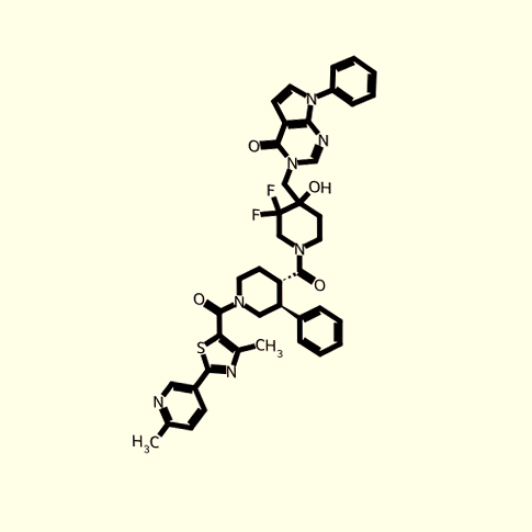 Cc1ccc(-c2nc(C)c(C(=O)N3CC[C@H](C(=O)N4CCC(O)(Cn5cnc6c(ccn6-c6ccccc6)c5=O)C(F)(F)C4)[C@@H](c4ccccc4)C3)s2)cn1